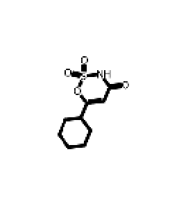 O=C1C=C(C2CCCCC2)OS(=O)(=O)N1